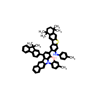 Cc1ccc(Nc2cc3sc4cc5c(cc4c3cc2-c2cc(-c3ccc4c(c3)C(C)(C)c3ccccc3-4)c3c4cc6ccccc6cc4n4c3c2Bc2cc(C)ccc2-4)C(C)(C)CCC5(C)C)cc1